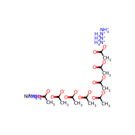 CC(=O)[O-].CC(=O)[O-].CC(=O)[O-].CC(=O)[O-].CC(=O)[O-].CC(=O)[O-].CC(=O)[O-].CC(=O)[O-].[NH4+].[NH4+].[NH4+].[NH4+].[NH4+].[NH4+].[Ni+2]